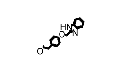 O=[C]Cc1ccc(OCc2nc3ccccc3[nH]2)cc1